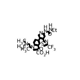 CCNC(=O)Nc1cc(-c2nc(C(F)(F)F)cs2)c(-c2ccc3c(c2)c(=O)c(C(=O)O)cn3C(C)CN(C)C)cn1